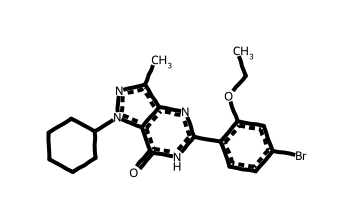 CCOc1cc(Br)ccc1-c1nc2c(C)nn(C3CCCCC3)c2c(=O)[nH]1